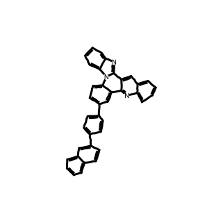 c1ccc2cc(-c3ccc(-c4ccc5c(c4)c4nc6ccccc6cc4c4nc6ccccc6n54)cc3)ccc2c1